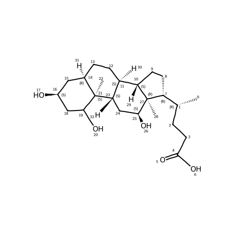 C[C@H](CCC(=O)O)[C@H]1CC[C@H]2[C@@H]3CC[C@@H]4C[C@H](O)CC(O)[C@]4(C)[C@H]3C[C@H](O)[C@]12C